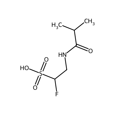 CC(C)C(=O)NCC(F)S(=O)(=O)O